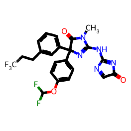 CN1C(=O)C(c2ccc(OC(F)F)cc2)(c2cccc(CCC(F)(F)F)c2)N=C1NC1=NC(=O)C=N1